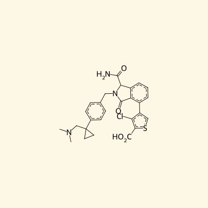 CN(C)CC1(c2ccc(CN3C(=O)c4c(-c5csc(C(=O)O)c5Cl)cccc4C3C(N)=O)cc2)CC1